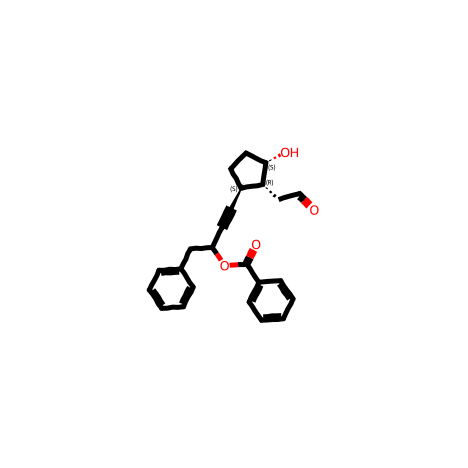 O=CC[C@H]1[C@@H](O)CC[C@@H]1C#CC(Cc1ccccc1)OC(=O)c1ccccc1